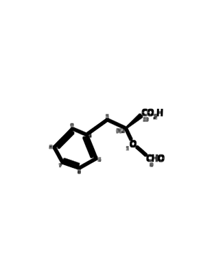 O=CO[C@@H](Cc1ccccc1)C(=O)O